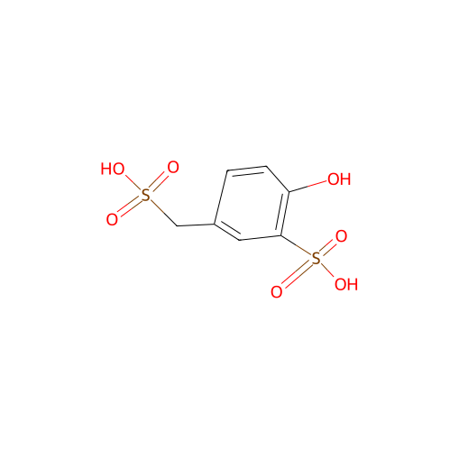 O=S(=O)(O)Cc1ccc(O)c(S(=O)(=O)O)c1